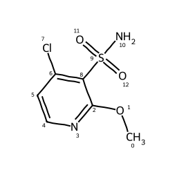 COc1nccc(Cl)c1S(N)(=O)=O